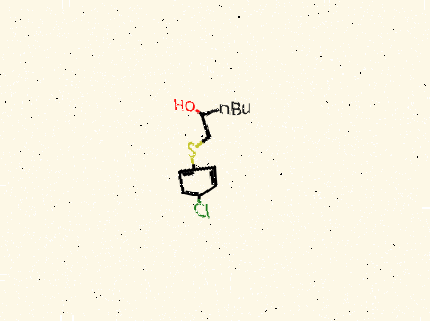 CCCCC(O)CSc1ccc(Cl)cc1